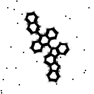 C1=Cc2c(n(-c3c4ccccc4c(-c4ccc5ccccc5c4)c4ccccc34)c3ccc4c5ccccc5oc4c23)CC1